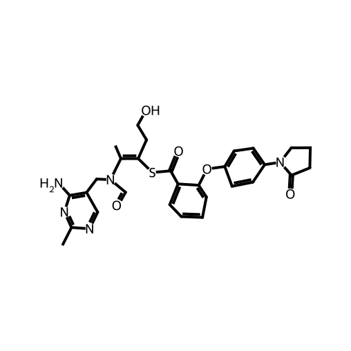 C/C(=C(\CCO)SC(=O)c1ccccc1Oc1ccc(N2CCCC2=O)cc1)N(C=O)Cc1cnc(C)nc1N